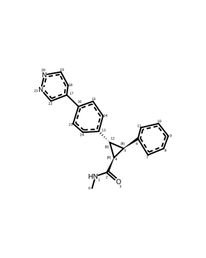 CNC(=O)[C@@H]1[C@H](c2ccccc2)[C@H]1c1ccc(-c2ccnnc2)cc1